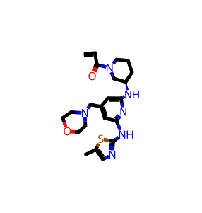 C=CC(=O)N1CCC[C@@H](Nc2cc(CN3CCOCC3)cc(Nc3ncc(C)s3)n2)C1